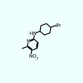 Cc1nc(NC2CCC(C(C)C)CC2)ccc1[N+](=O)[O-]